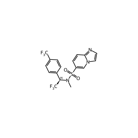 CN([C@H](c1ccc(C(F)(F)F)cc1)C(F)(F)F)S(=O)(=O)c1ccc2nccn2c1